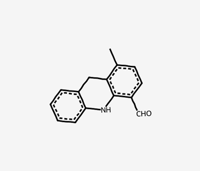 Cc1ccc(C=O)c2c1Cc1ccccc1N2